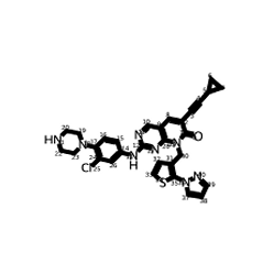 O=c1c(C#CC2CC2)cc2cnc(Nc3ccc(N4CCNCC4)c(Cl)c3)nc2n1Cc1ccsc1-n1cccn1